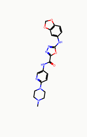 CN1CCN(c2ccc(NC(=O)c3nnc(Nc4ccc5c(c4)OCO5)o3)cn2)CC1